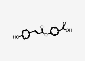 O=C(/C=C/c1ccc(O)cc1)Oc1ccc(C(=O)O)cc1